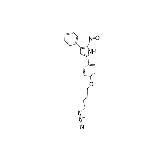 [N-]=[N+]=NCCCCOc1ccc(-c2cc(-c3ccccc3)c(N=O)[nH]2)cc1